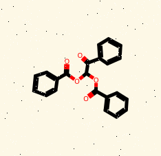 O=C(OC(OC(=O)c1ccccc1)C(=O)c1ccccc1)c1ccccc1